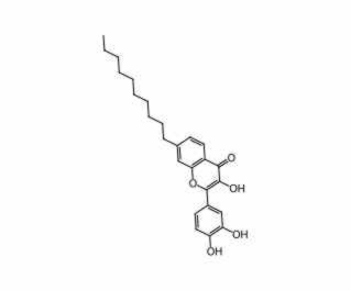 CCCCCCCCCCc1ccc2c(=O)c(O)c(-c3ccc(O)c(O)c3)oc2c1